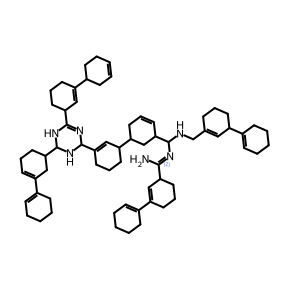 N/C(=N\C(NCC1=CC(C2=CCCCC2)CCC1)C1C=CCC(C2C=C(C3N=C(C4C=C(C5CC=CCC5)CCC4)NC(C4CCC=C(C5=CCCCC5)C4)N3)CCC2)C1)C1C=C(C2=CCCCC2)CCC1